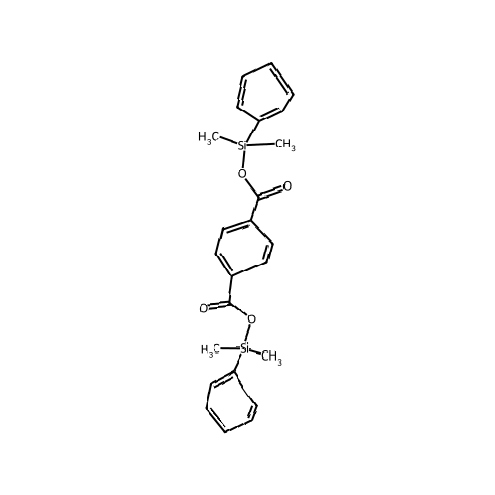 C[Si](C)(OC(=O)c1ccc(C(=O)O[Si](C)(C)c2ccccc2)cc1)c1ccccc1